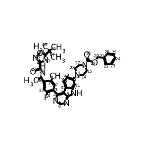 Cc1cc(-c2ncnc3[nH]c4cc(N5CCN(C(=O)OCc6ccccc6)CC5)ccc4c23)c(F)cc1[C@@H](C)NC(=O)c1noc(C(C)(C)C)n1